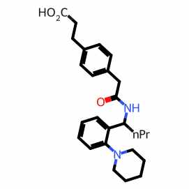 CCCC(NC(=O)Cc1ccc(CCC(=O)O)cc1)c1ccccc1N1CCCCC1